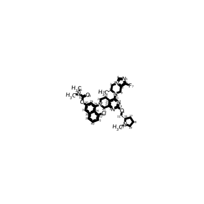 C[C@@H]1Cn2cnc(F)c2CN1c1nc(OC[C@@H]2CCCN2C)nc2c1CCN(c1cc(OC(=O)N(C)C)cc3cccc(Cl)c13)C2